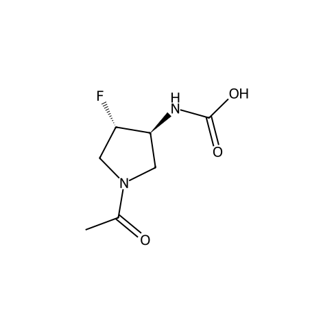 CC(=O)N1C[C@H](NC(=O)O)[C@@H](F)C1